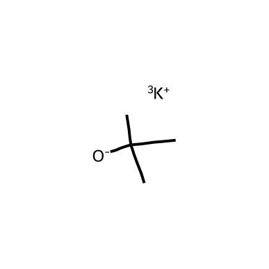 CC(C)(C)[O-].[3K+]